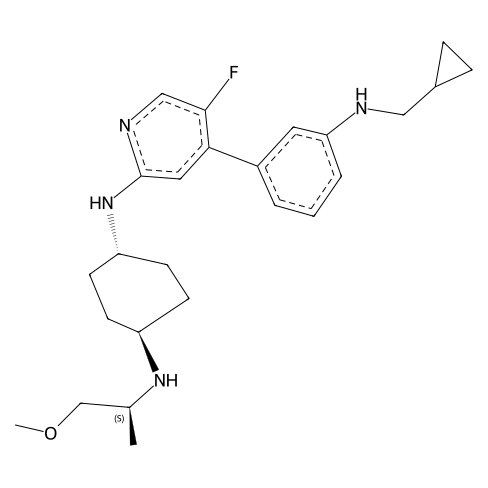 COC[C@H](C)N[C@H]1CC[C@H](Nc2cc(-c3cccc(NCC4CC4)c3)c(F)cn2)CC1